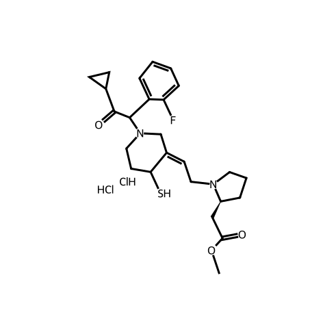 COC(=O)C[C@@H]1CCCN1CC=C1CN(C(C(=O)C2CC2)c2ccccc2F)CCC1S.Cl.Cl